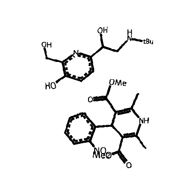 CC(C)(C)NCC(O)c1ccc(O)c(CO)n1.COC(=O)C1=C(C)NC(C)=C(C(=O)OC)C1c1ccccc1[N+](=O)[O-]